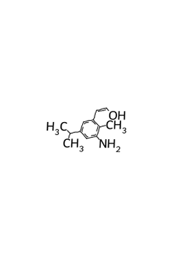 Cc1c(N)cc(C(C)C)cc1/C=C\O